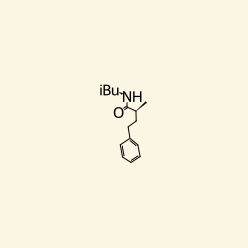 CC[C@H](C)NC(=O)[C@@H](C)CCc1ccccc1